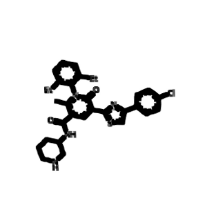 CCc1cccc(CC)c1-n1c(C)c(C(=O)NC2CCCNC2)cc(-c2nc(-c3ccc(Cl)cc3)cs2)c1=O